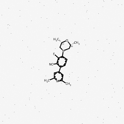 Cc1cc(-c2ccc(N3C[C@@H](C)O[C@@H](C)C3)c(F)c2C#N)cc(C)n1